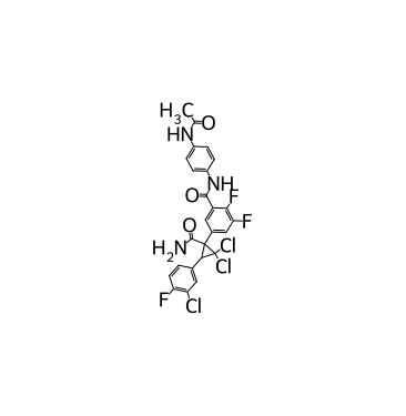 CC(=O)Nc1ccc(NC(=O)c2cc(C3(C(N)=O)C(c4ccc(F)c(Cl)c4)C3(Cl)Cl)cc(F)c2F)cc1